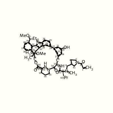 C=CC(=O)N1CCC(CN(C)[C@H](C(=O)N[C@H]2Cc3cc(O)cc(c3)-c3ccc4c(c3)c(c(-c3c(COC)cccc3COC)n4CC)CC(C)(C)COC(=O)[C@@H]3CCCN(N3)C2=O)C(C)C)C1